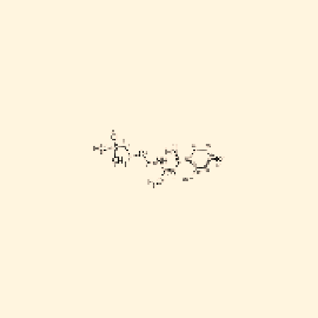 CS(C)(C)CCOCN/C(=N\C(=N)c1ccc(Br)cc1F)C(F)(F)F